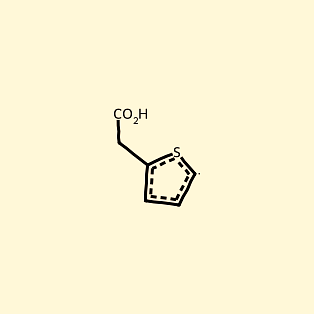 O=C(O)Cc1cc[c]s1